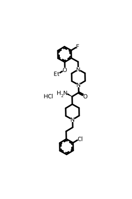 CCOc1cccc(F)c1CN1CCN(C(=O)[C@H](N)C2CCN(CCc3ccccc3Cl)CC2)CC1.Cl